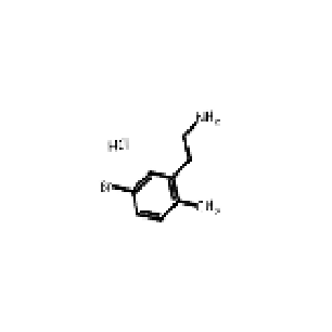 Cc1ccc(Br)cc1CCN.Cl